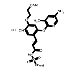 CCCCCS(=O)(=O)NC(=O)/C=C/c1ccc(OCCOC)cc1Oc1ncc(N)cc1C.Cl.Cl